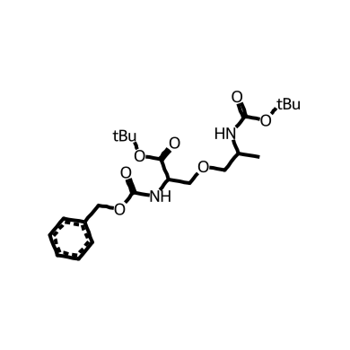 CC(COCC(NC(=O)OCc1ccccc1)C(=O)OC(C)(C)C)NC(=O)OC(C)(C)C